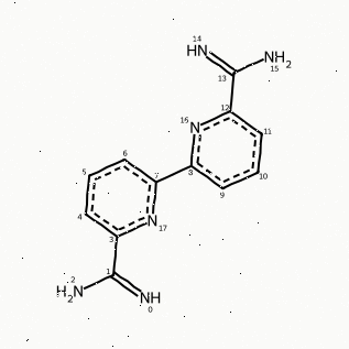 N=C(N)c1cccc(-c2cccc(C(=N)N)n2)n1